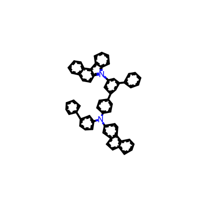 c1ccc(-c2cccc(N(c3ccc(-c4cc(-c5ccccc5)cc(-n5c6ccccc6c6c7ccccc7ccc65)c4)cc3)c3ccc4c(ccc5ccccc54)c3)c2)cc1